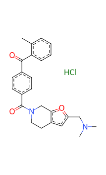 Cc1ccccc1C(=O)c1ccc(C(=O)N2CCc3cc(CN(C)C)oc3C2)cc1.Cl